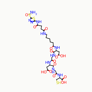 N[S+]([O-])c1nnc(NC(=O)CCC(=O)NCCCCCC(=O)NC(CC(=O)O)C(=O)NCC(=O)NC(CC(=O)O)C(=O)NCC(=O)NC(CS)C(=O)O)s1